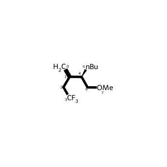 C=C(CC(F)(F)F)[C@@H](CCCC)COC